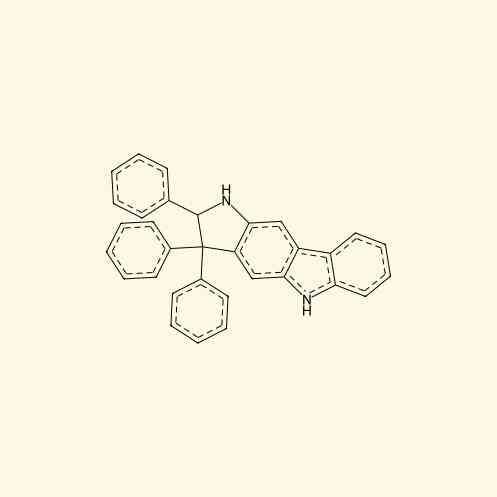 c1ccc(C2Nc3cc4c(cc3C2(c2ccccc2)c2ccccc2)[nH]c2ccccc24)cc1